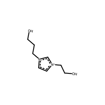 OCCCn1cc[n+](CCO)c1